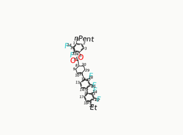 CCCCCc1ccc(OC(=O)C2CC=C(c3ccc(-c4ccc(CC)c(F)c4F)c(F)c3F)CC2)c(F)c1F